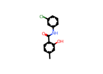 Cc1ccc(C(=O)Nc2cccc(Cl)c2)c(O)c1